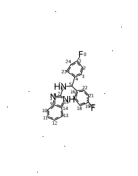 Fc1ccc(C(Nc2nc3ccccc3[nH]2)c2ccc(F)cc2)cc1